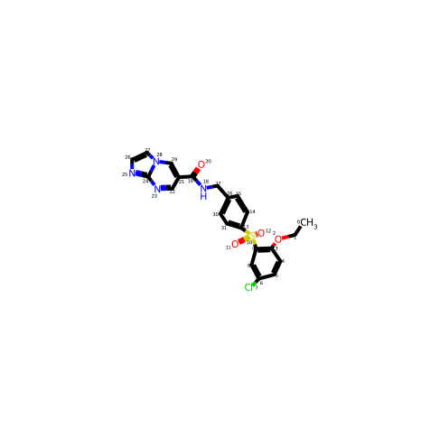 CCOc1ccc(Cl)cc1S(=O)(=O)c1ccc(CNC(=O)c2cnc3nccn3c2)cc1